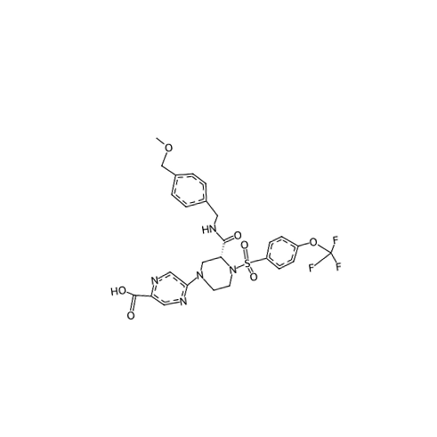 COCc1ccc(CNC(=O)[C@H]2CN(c3cnc(C(=O)O)cn3)CCN2S(=O)(=O)c2ccc(OC(F)(F)F)cc2)cc1